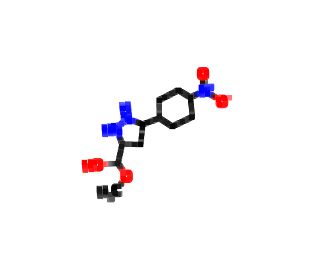 COC(O)C1CC(C2CCC([N+](=O)[O-])CC2)NN1